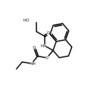 CCNC(=O)OC1(NC(=O)CC)CCCc2ccccc21.Cl